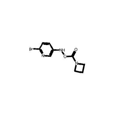 O=C(ONc1ccc(Br)nc1)N1CCC1